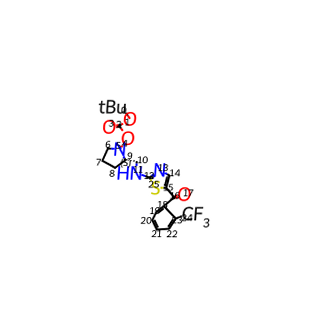 CC(C)(C)OC(=O)ON1CCC[C@H]1CNc1ncc(C(=O)c2ccccc2C(F)(F)F)s1